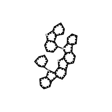 c1ccc(-n2c3ccccc3c3ccc4c5ccc6c7ccccc7n(-c7cccc8oc9ccccc9c78)c6c5sc4c32)cc1